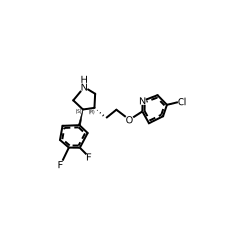 Fc1ccc([C@H]2CNC[C@@H]2CCOc2ccc(Cl)cn2)cc1F